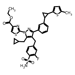 CCOC(=O)c1csc(-n2nc(-c3cccc(C4CC4c4ccc(C)s4)c3)c(Cc3ccc(S(N)(=O)=O)c(F)c3)c2CC2CC2)n1